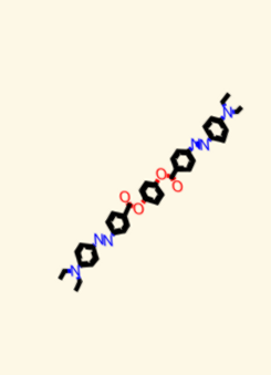 CCN(CC)c1ccc(N=Nc2ccc(C(=O)Oc3ccc(OC(=O)c4ccc(N=Nc5ccc(N(CC)CC)cc5)cc4)cc3)cc2)cc1